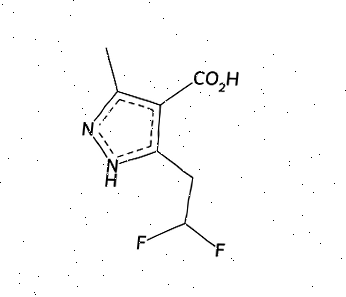 Cc1n[nH]c(CC(F)F)c1C(=O)O